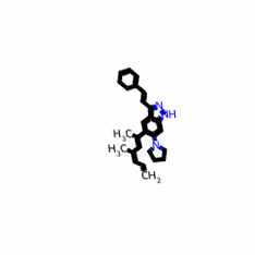 C=C/C=C(C)\C=C(/C)c1cc2c(/C=C/C3=CC=CCC3)n[nH]c2cc1N1CCCC1